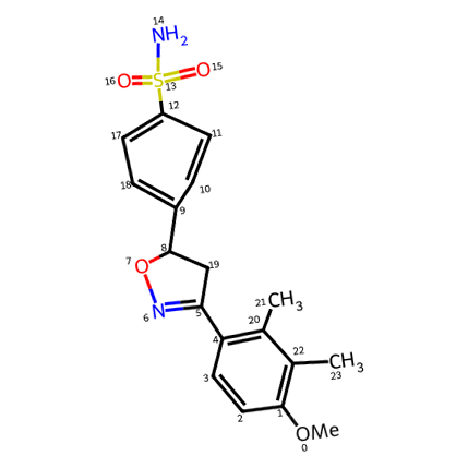 COc1ccc(C2=NOC(c3ccc(S(N)(=O)=O)cc3)C2)c(C)c1C